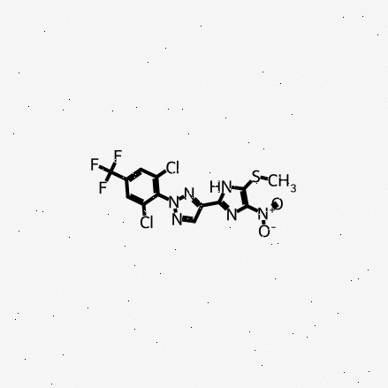 CSc1[nH]c(-c2cnn(-c3c(Cl)cc(C(F)(F)F)cc3Cl)n2)nc1[N+](=O)[O-]